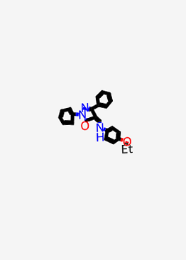 CCOc1ccc(NC=C2C(=O)N(c3ccccc3)N=C2c2ccccc2)cc1